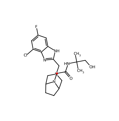 CC(C)(CO)NC(=O)CN1C2CCC1CN(Cc1nc3c(Cl)cc(F)cc3[nH]1)C2